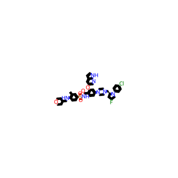 Cc1cc(S(=O)(=O)NC(=O)c2ccc(N3CCN(C[C@@H]4CC(F)CN4c4ccc(Cl)cc4)CC3)cc2Oc2cnc3[nH]ccc3c2)ccc1NCC1CCOCC1